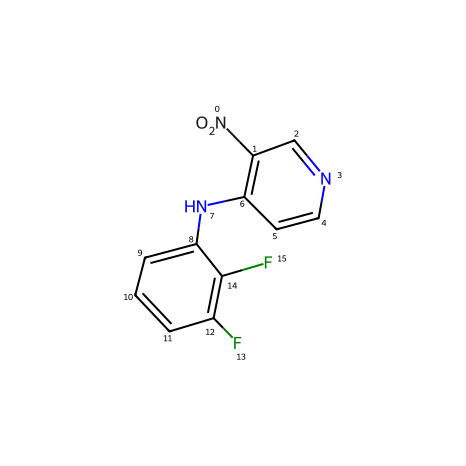 O=[N+]([O-])c1cnccc1Nc1cccc(F)c1F